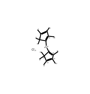 CC1=C(C)C(C)(C)[C]([U+][C]2=C(C)C(C)=C(C)C2(C)C)=C1C.[Cl-]